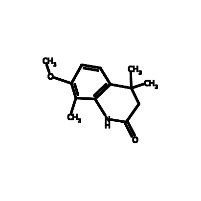 COc1ccc2c(c1C)NC(=O)CC2(C)C